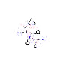 CCCC[C@H](NC(=O)[C@H](CO)NC(=O)[C@H](CCCNC(=N)N)NC(=O)[C@H](CCc1ccccc1)NC(=O)[C@H](Cc1ccccc1)NC(=O)[C@H](CCCNC(=N)N)NC(=O)[C@@H]1CCCN1)C(=O)N1CCC[C@@H]1C(=O)O